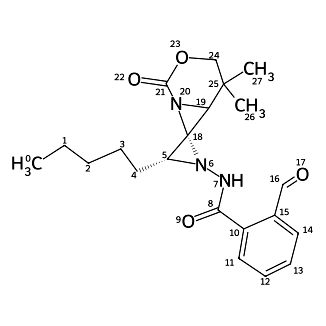 CCCCC[C@H]1N(NC(=O)c2ccccc2C=O)[C@]12C1N2C(=O)OCC1(C)C